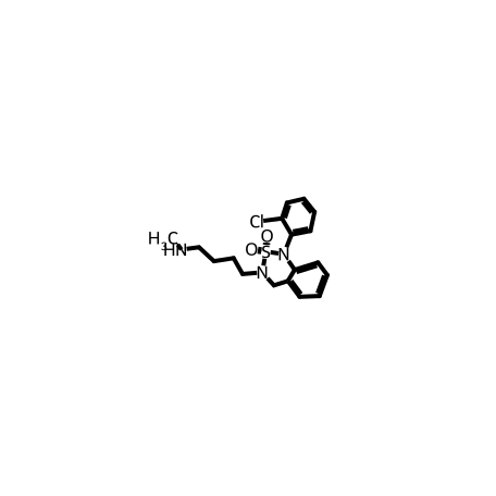 CNCCCCN1Cc2ccccc2N(c2ccccc2Cl)S1(=O)=O